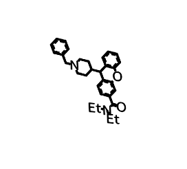 CCN(CC)C(=O)c1ccc2c(c1)Oc1ccccc1C2C1CCN(Cc2ccccc2)CC1